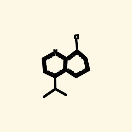 CC(C)c1ccnc2c(Cl)cccc12